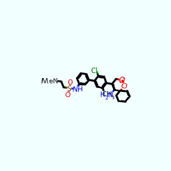 CNCCS(=O)(=O)Nc1cccc(-c2cc(C)c(C3=C(N)C4(CCCCC4)OOC3)cc2Cl)c1